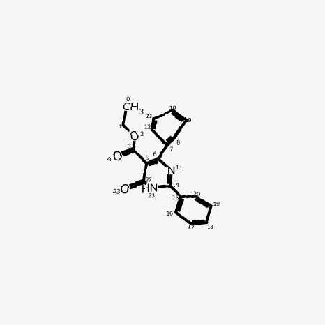 CCOC(=O)c1c(-c2ccccc2)nc(-c2ccccc2)[nH]c1=O